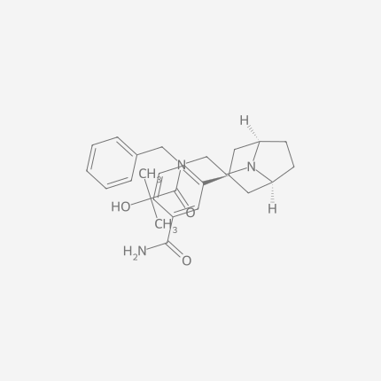 CC(C)(O)C(=O)N(CCN1[C@@H]2CC[C@H]1C[C@@H](c1cccc(C(N)=O)c1)C2)Cc1ccccc1